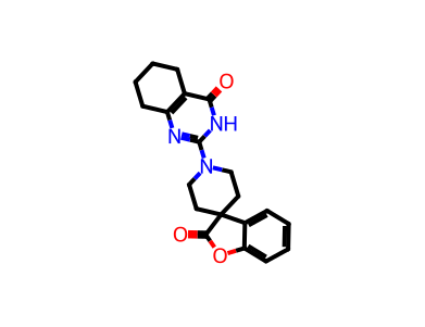 O=C1Oc2ccccc2C12CCN(c1nc3c(c(=O)[nH]1)CCCC3)CC2